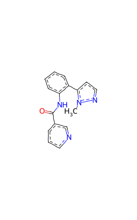 Cn1nccc1-c1ccccc1NC(=O)c1cccnc1